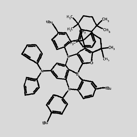 CC(C)(C)c1ccc(N2c3ccc(C(C)(C)C)cc3B3c4oc5c(c4N(c4ccc(C(C)(C)C)cc4-c4cccc6c4C(C)(C)CCC6(C)C)c4cc(N(c6ccccc6)c6ccccc6)cc2c43)C(C)(C)CCC5(C)C)cc1